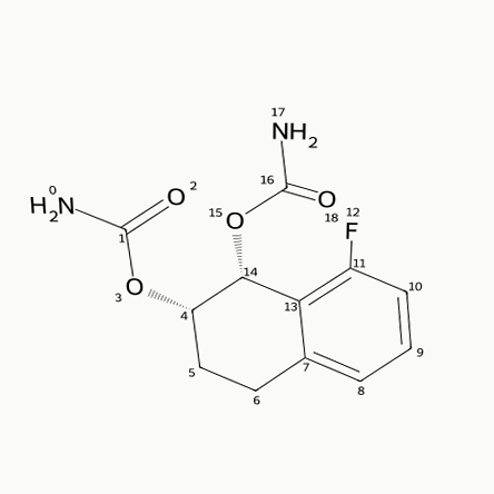 NC(=O)O[C@H]1CCc2cccc(F)c2[C@H]1OC(N)=O